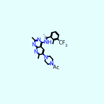 CC(=O)N1CCN(c2cc3c(N[C@H](C)c4cccc(C(F)(F)F)c4C)nc(C)nc3nc2C)CC1